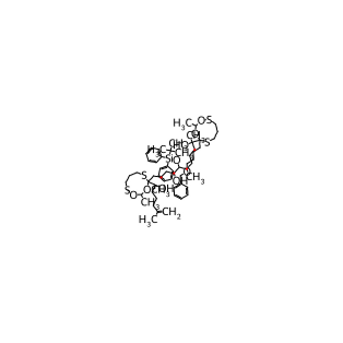 C=C(C)CCCC(C)(O)C1(CCCC(O)C(O[Si](c2ccccc2)(c2ccccc2)C(C)(C)C)C(C)CCCC(C)(O)C2(CCCCOCc3ccccc3)OC(C)OSCCCS2)OC(C)OSCCCS1